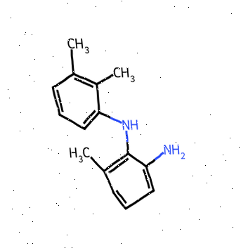 Cc1cccc(Nc2c(C)cccc2N)c1C